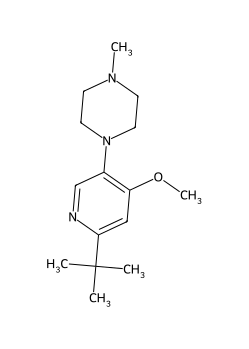 COc1cc(C(C)(C)C)ncc1N1CCN(C)CC1